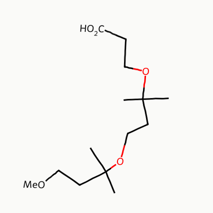 COCCC(C)(C)OCCC(C)(C)OCCC(=O)O